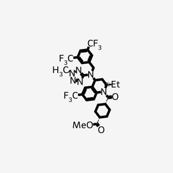 CC[C@@H]1CC(N(Cc2cc(C(F)(F)F)cc(C(F)(F)F)c2)c2nnn(C)n2)c2cc(C(F)(F)F)ccc2N1C(=O)[C@H]1CC[C@@H](C(=O)OC)CC1